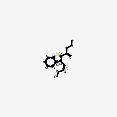 C=C(CCC)c1sc2ccccc2c1/C=C\CC